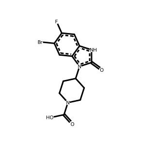 O=C(O)N1CCC(n2c(=O)[nH]c3cc(F)c(Br)cc32)CC1